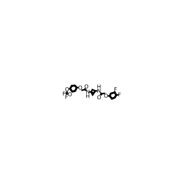 O=C(COc1ccc(F)c(F)c1)NC12CC(NC(=O)COc3ccc4c(c3)OC(F)(F)O4)(C1)C2